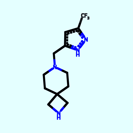 FC(F)(F)c1cc(CN2CCC3(CC2)CNC3)[nH]n1